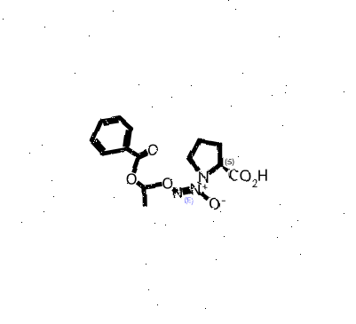 CC(O/N=[N+](/[O-])N1CCC[C@H]1C(=O)O)OC(=O)c1ccccc1